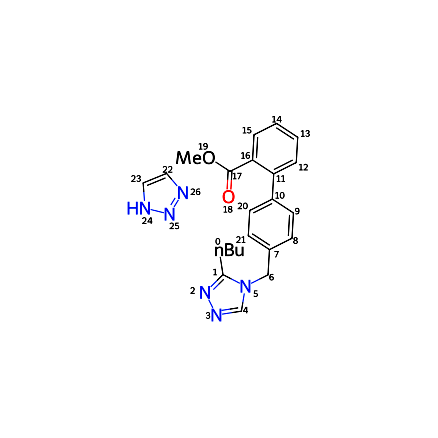 CCCCc1nncn1Cc1ccc(-c2ccccc2C(=O)OC)cc1.c1c[nH]nn1